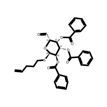 C=CCCCS[C@H]1O[C@H](C=O)[C@H](OC(=O)c2ccccc2)[C@H](OC(=O)c2ccccc2)[C@H]1OC(=O)c1ccccc1